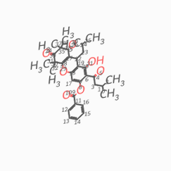 CC(C)CC(=O)c1c(OC(=O)c2ccccc2)cc2c(c1O)C(CC(C)C)C1=C(O2)C(C)(C)C(=O)C(C)(C)C1=O